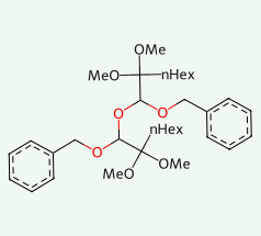 CCCCCCC(OC)(OC)C(OCc1ccccc1)OC(OCc1ccccc1)C(CCCCCC)(OC)OC